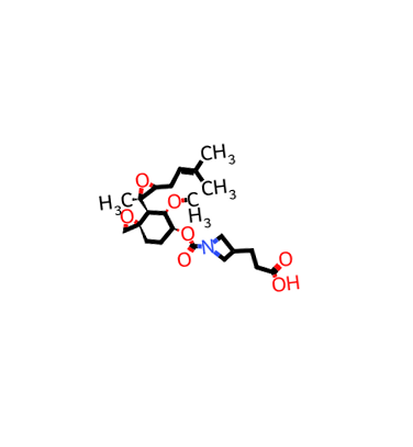 CO[C@@H]1[C@H](OC(=O)N2CC(CCC(=O)O)C2)CC[C@]2(CO2)[C@H]1[C@@]1(C)OC1CC=C(C)C